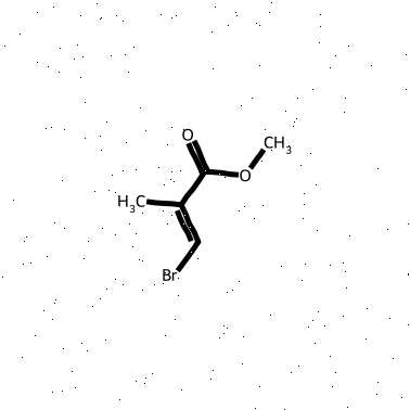 COC(=O)C(C)=CBr